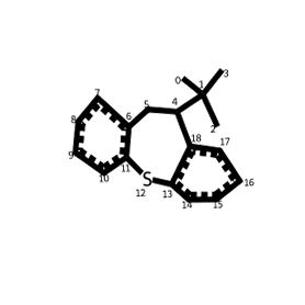 CC(C)(C)C1Cc2ccccc2Sc2ccccc21